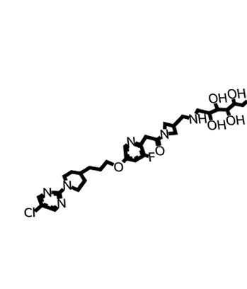 O=C(Cc1ncc(OCCCC2CCN(c3ncc(Cl)cn3)CC2)cc1F)N1CC(CNCC(O)C(O)C(O)C(O)CO)C1